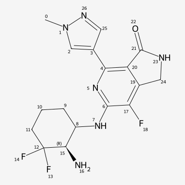 Cn1cc(-c2nc(NC3CCCC(F)(F)[C@@H]3N)c(F)c3c2C(=O)NC3)cn1